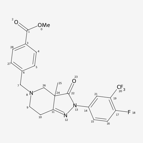 COC(=O)c1ccc(CN2CCC3=NN(c4ccc(F)c(C(F)(F)F)c4)C(=O)C3(C)C2)cc1